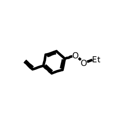 C=Cc1ccc(OOCC)cc1